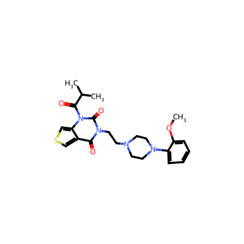 COc1ccccc1N1CCN(CCn2c(=O)c3cscc3n(C(=O)C(C)C)c2=O)CC1